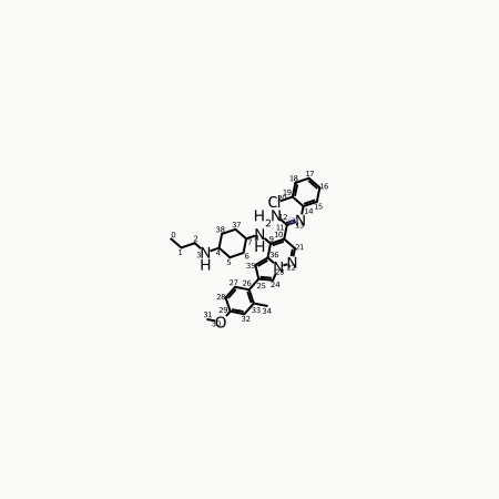 CCCNC1CCC(Nc2c(/C(N)=N/c3ccccc3Cl)cnn3cc(-c4ccc(OC)cc4C)cc23)CC1